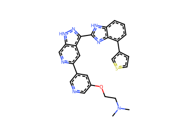 CN(C)CCOc1cncc(-c2cc3c(-c4nc5c(-c6ccsc6)cccc5[nH]4)n[nH]c3cn2)c1